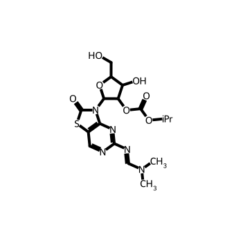 CC(C)OC(=O)OC1C(O)C(CO)OC1n1c(=O)sc2cnc(/N=C/N(C)C)nc21